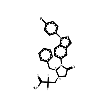 NC(=O)C(F)(F)C[C@@H]1CC(=O)N(c2ccc3c(cnn3-c3ccc(F)cc3)c2)[C@@H]1Cc1ccccc1